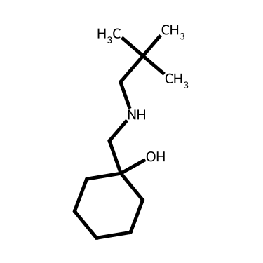 CC(C)(C)CNCC1(O)CCCCC1